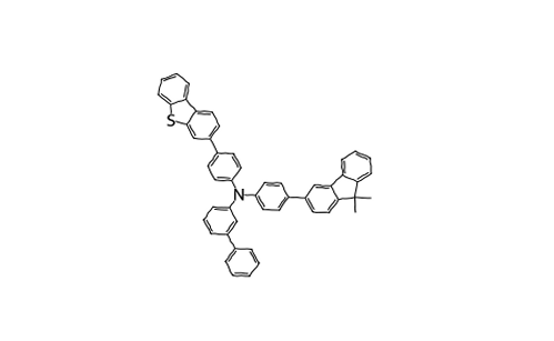 CC1(C)c2ccccc2-c2cc(-c3ccc(N(c4ccc(-c5ccc6c(c5)sc5ccccc56)cc4)c4cccc(-c5ccccc5)c4)cc3)ccc21